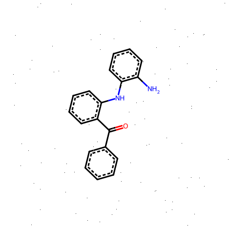 Nc1ccccc1Nc1ccccc1C(=O)c1ccccc1